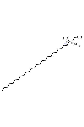 CCCCCCCCCCCCCCCCCCCCCCC/C=C/[C@@H](O)[C@@H](N)CO